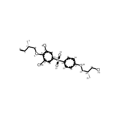 CC[C@H](C)COc1c(Cl)cc(S(=O)(=O)c2ccc(OC[C@@H](C)CCl)cc2)cc1Cl